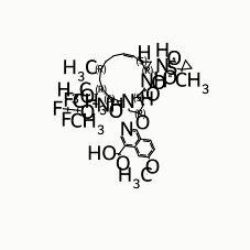 CC[C@@H]1C[C@H](C)CCC=C[C@@H]2C[C@@]2(C(=O)NS(=O)(=O)C2(C)CC2)NC(=O)[C@@H]2C[C@@H](Oc3ncc(C(=O)O)c4cc(OC)ccc34)CN2C(=O)[C@H]1NC(=O)OC(C)(C)C(F)(F)F